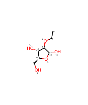 CCO[C@@H]1[C@@H](O)[C@H](CO)O[C@H]1O